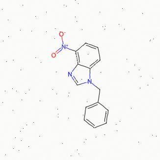 O=[N+]([O-])c1cccc2c1ncn2Cc1ccccc1